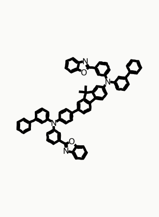 CC1(C)c2cc(-c3ccc(N(c4cccc(-c5ccccc5)c4)c4cccc(-c5nc6ccccc6o5)c4)cc3)ccc2-c2ccc(N(c3cccc(-c4ccccc4)c3)c3cccc(-c4nc5ccccc5o4)c3)cc21